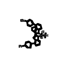 CC1=Cc2c(-c3ccc(C(C)(C)C)cc3)cccc2[CH]1[Zr]([Cl])([Cl])([CH]1C(C2CCCC2)=Cc2c(-c3ccc(C(C)C)cc3)cccc21)[SiH](C)C